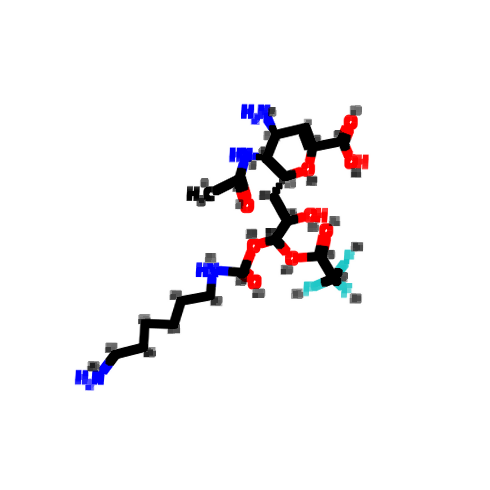 CC(=O)N[C@@H]1[C@@H](N)C=C(C(=O)O)O[C@@H]1CC(O)C(OC(=O)NCCCCCCN)OC(=O)C(F)(F)F